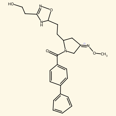 CO/N=C1/CC(CCC2NC(CCO)=NO2)N(C(=O)c2ccc(-c3ccccc3)cc2)C1